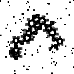 CCN(C)C1CCCC1Oc1ccc2c(c1)CN(C1CCC(=O)N(N3C(=O)CCC(N4Cc5cc(O[C@H]6CCC[C@@H]6N6C[C@H]7COC[C@H]7C6)ccc5C4=O)C3=O)C1=O)C2=O